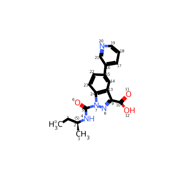 CC[C@H](C)NC(=O)n1nc(C(=O)O)c2cc(-c3cccnc3)ccc21